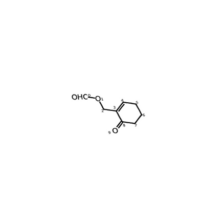 O=COCC1=CCCCC1=O